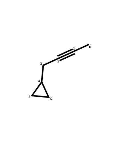 [CH2]C#CCC1CC1